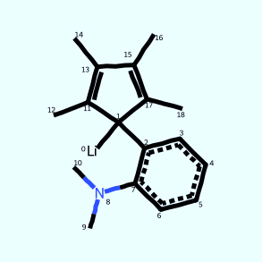 [Li][C]1(c2ccccc2N(C)C)C(C)=C(C)C(C)=C1C